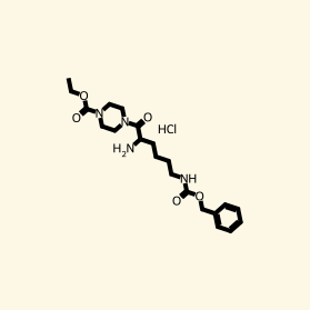 CCOC(=O)N1CCN(C(=O)C(N)CCCCNC(=O)OCc2ccccc2)CC1.Cl